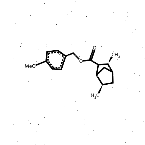 COc1ccc(COC(=O)C2C3CC(C[C@H]3C)[C@@H]2C)cc1